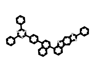 c1ccc(-c2nc(-c3ccccc3)nc(-c3ccc(-c4ccc(-c5cccc6c5oc5cc7nc(-c8ccccc8)oc7cc56)c5ccccc45)cc3)n2)cc1